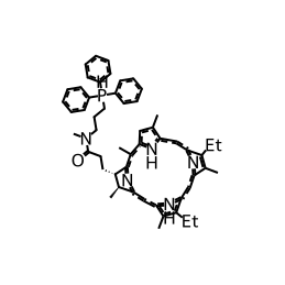 CCC1=C(C)c2cc3[nH]c(cc4nc(c(C)c5cc(C)c(cc1n2)[nH]5)[C@@H](CCC(=O)N(C)CCC[PH](c1ccccc1)(c1ccccc1)c1ccccc1)[C@@H]4C)c(C)c3CC